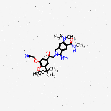 CNC(=O)c1cc2c(cc1N(C)C)CN(CC(=O)c1cc(OCC#N)c(OC)c(C(C)(C)C)c1)C2=N